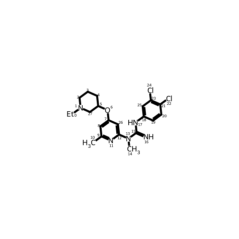 CCN1CCCC(Oc2cc(C)nc(N(C)C(=N)Nc3ccc(Cl)c(Cl)c3)c2)C1